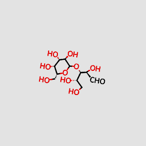 O=C[C@H](O)[C@@H](OC1O[C@H](CO)[C@H](O)[C@H](O)[C@H]1O)[C@@H](O)CO